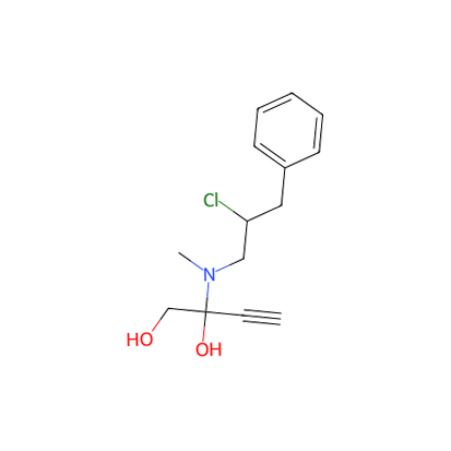 C#CC(O)(CO)N(C)CC(Cl)Cc1ccccc1